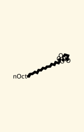 CCCCCCCCC=CCCCCCCCCCCCCCC(=O)ON1C(=O)CCC1=O